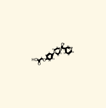 O=C(O)COc1ccc(N2CCN(C(=O)c3cccnc3)CC2)cc1